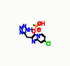 CP(=O)(O)Oc1c(Cc2nnn[nH]2)nc2cc(Cl)ccn12